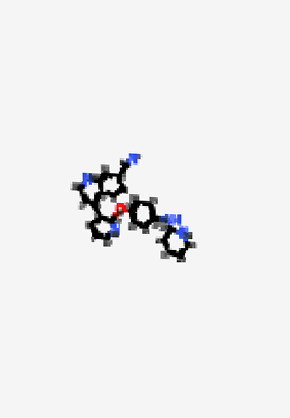 N#Cc1ccc2c(-c3cccnc3Oc3ccc(Nc4ccccn4)cc3)ccnc2c1